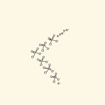 [K+].[K+].[K+].[K+].[K+].[K+].[O]=[Re](=[O])([O-])[Cl].[O]=[Re](=[O])([O-])[Cl].[O]=[Re](=[O])([O-])[Cl].[O]=[Re](=[O])([O-])[Cl].[O]=[Re](=[O])([O-])[Cl].[O]=[Re](=[O])([O-])[Cl]